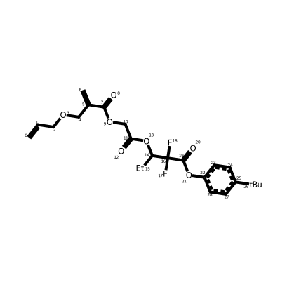 C=CCOCC(=C)C(=O)OCC(=O)OC(CC)C(F)(F)C(=O)Oc1ccc(C(C)(C)C)cc1